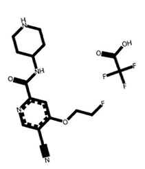 N#Cc1cnc(C(=O)NC2CCNCC2)cc1OCCF.O=C(O)C(F)(F)F